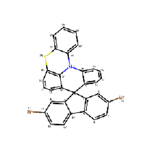 Brc1ccc2c(c1)C1(c3cc(Br)ccc3-2)c2ccccc2N2c3ccccc3Sc3cccc1c32